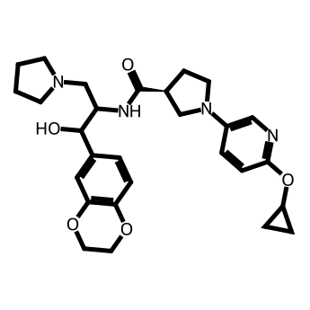 O=C(NC(CN1CCCC1)C(O)c1ccc2c(c1)OCCO2)[C@H]1CCN(c2ccc(OC3CC3)nc2)C1